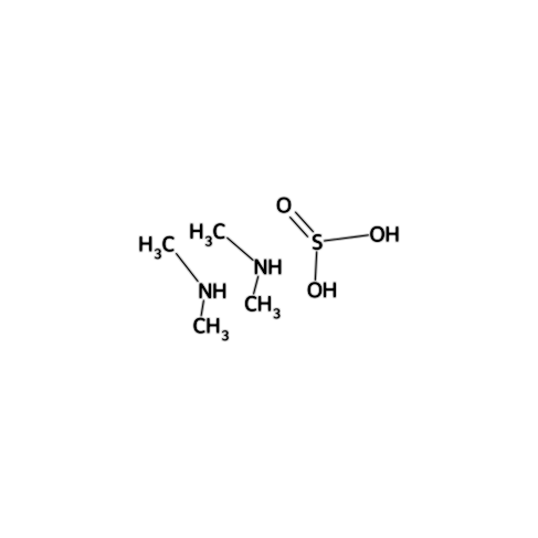 CNC.CNC.O=S(O)O